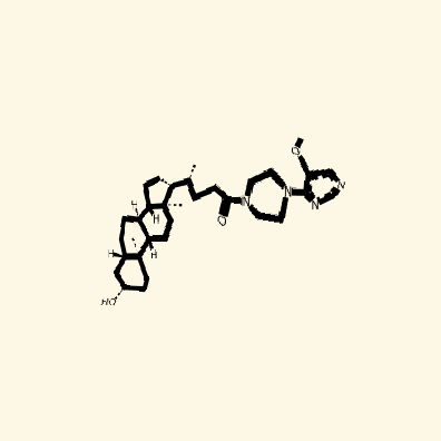 COc1cncnc1N1CCN(C(=O)CC[C@@H](C)[C@H]2CC[C@H]3[C@@H]4CC[C@H]5C[C@@H](O)CC[C@]5(C)[C@H]4CC[C@]23C)CC1